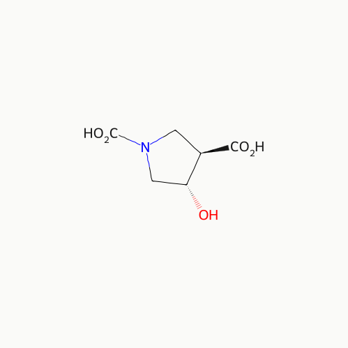 O=C(O)[C@@H]1CN(C(=O)O)C[C@H]1O